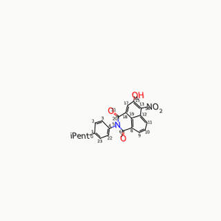 CCCC(C)c1ccc(N2C(=O)c3cccc4c([N+](=O)[O-])c(O)cc(c34)C2=O)cc1